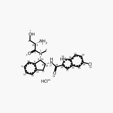 CN(C(=O)[C@@H](N)CO)[C@H]1c2ccccc2C[C@H]1NC(=O)c1cc2cc(Cl)ccc2[nH]1.Cl